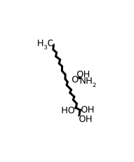 CCCCCCCCCCCCCCCCCCC(O)C(O)CO.NC(=O)O